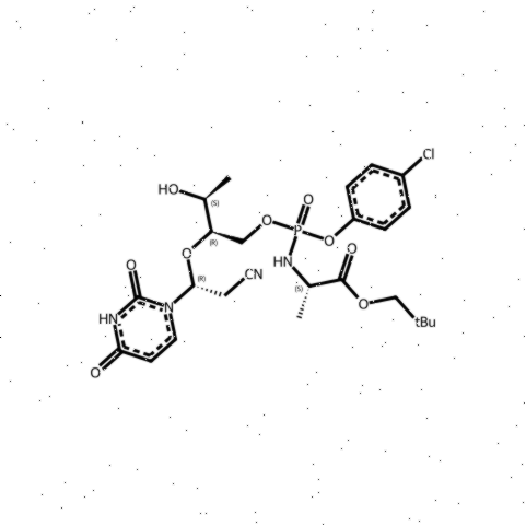 C[C@H](NP(=O)(OC[C@@H](O[C@H](CC#N)n1ccc(=O)[nH]c1=O)[C@H](C)O)Oc1ccc(Cl)cc1)C(=O)OCC(C)(C)C